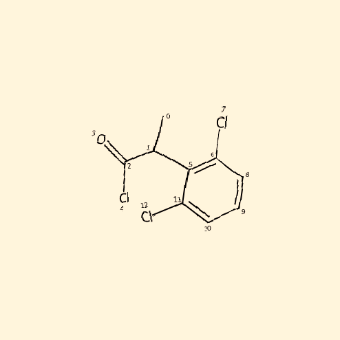 CC(C(=O)Cl)c1c(Cl)cccc1Cl